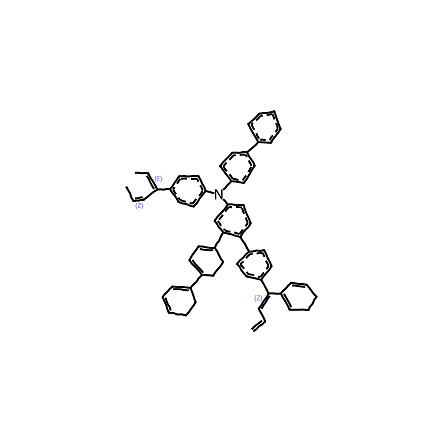 C=C/C=C(\C1=CCCC=C1)c1ccc(-c2ccc(N(c3ccc(C(/C=C\C)=C/C)cc3)c3ccc(-c4ccccc4)cc3)cc2C2=CC=C(C3=CC=CCC3)CC2)cc1